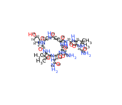 CC[C@H](C)[C@@H]1NC(=O)[C@H](Cc2ccc(O)cc2)NC(=O)CNC(=O)CC[C@@H](C(=O)NCC(=O)N[C@@H](CC(C)C)C(=O)NCC(N)=O)NC(=O)[C@H](CC(N)=O)NC(=O)[C@H](CCC(N)=O)NC1=O